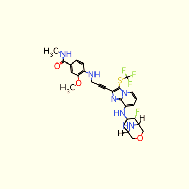 CNC(=O)c1ccc(NCC#Cc2nc3c(N[C@@H]4C[C@H]5COC[C@H](N5)[C@@H]4F)cccn3c2SC(F)(F)F)c(OC)c1